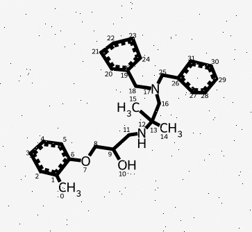 Cc1ccccc1OCC(O)CNC(C)(C)CN(Cc1ccccc1)Cc1ccccc1